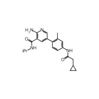 Cc1cc(NC(=O)CC2CC2)ccc1-c1cnc(N)c(C(=O)NC(C)C)c1